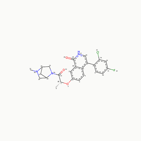 C[C@@H](Oc1ccc2c(-c3ccc(F)cc3Cl)c[nH]c(=O)c2c1)C(=O)N1CC2CC1CN2C